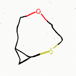 C1CSC2CC2CCO1